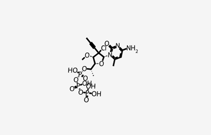 CC#CC1(Cl)[C@@H](OC)[C@@H]([C@H](C)OP(=O)(O)OP(=O)(O)OP(=O)(O)O)O[C@H]1n1c(C)cc(N)nc1=O